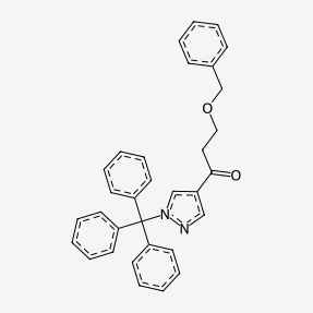 O=C(CCOCc1ccccc1)c1cnn(C(c2ccccc2)(c2ccccc2)c2ccccc2)c1